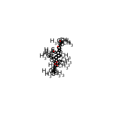 CCOC(=O)c1cc2c3c(c(C)cc2c2c1-c1sc4cc(B5OC(C)(C)C(C)(C)O5)ccc4c1C2(CC(C)C)CC(C)C)-c1sc2cc(B4OC(C)(C)C(C)(C)O4)ccc2c1C3(CC(C)C)CC(C)C